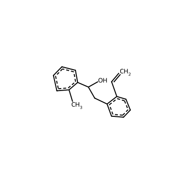 C=Cc1ccccc1CC(O)c1ccccc1C